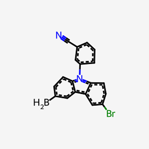 Bc1ccc2c(c1)c1cc(Br)ccc1n2-c1cccc(C#N)c1